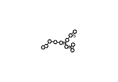 c1cc(-c2ccc(-c3ccc(N(c4ccc(-c5ccc6c(c5)sc5ccccc56)cc4)c4cccc(-n5c6ccccc6c6ccccc65)c4)cc3)cc2)cc(-c2ccc3ccccc3c2)c1